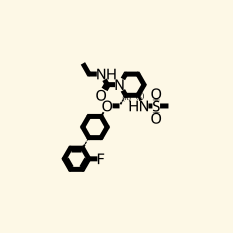 CCNC(=O)N1CCC[C@@H](NS(C)(=O)=O)[C@@H]1CO[C@H]1CC[C@@H](c2ccccc2F)CC1